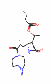 CCCC(=O)OC(C)[C@H]1C(=O)N[C@@H]1[C@@H](C)C(=O)N1CCN(C)CC1